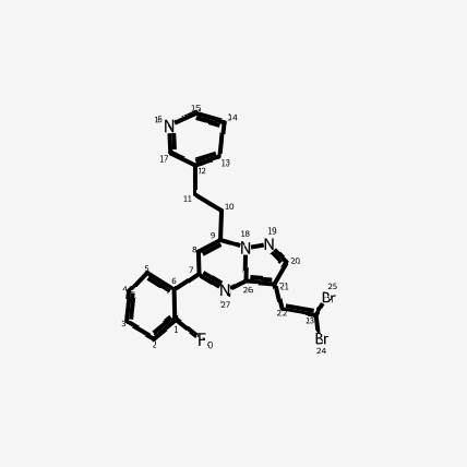 Fc1ccccc1-c1cc(CCc2cccnc2)n2ncc(C=C(Br)Br)c2n1